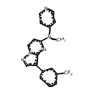 CN(c1ccncc1)c1ccn2ncc(-c3cccc(C(F)(F)F)c3)c2n1